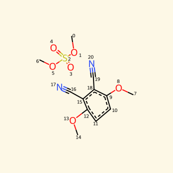 COS(=O)(=O)OC.COc1ccc(OC)c(C#N)c1C#N